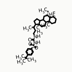 CC[C@H]1CC2C3CCC([C@H](C)CCNC(=O)NS(=O)(=O)c4ccc(C(C)(C)C)cc4)[C@@]3(C)CCC2[C@@]2(C)CCC[C@H](F)[C@@H]12